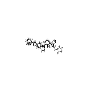 O=C(NCCC1CCCC1)c1cccc(Nc2ccc(OCc3ccccn3)cc2)c1